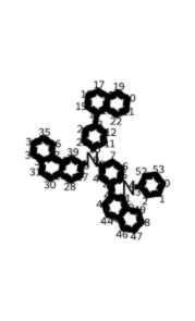 c1ccc(-n2c3ccc(N(c4ccc(-c5cccc6ccccc56)cc4)c4ccc5ccc6ccccc6c5c4)cc3c3ccc4ccccc4c32)cc1